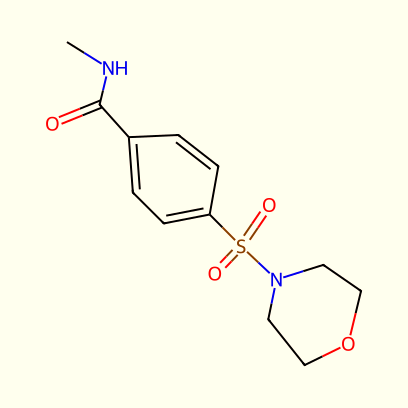 CNC(=O)c1ccc(S(=O)(=O)N2CCOCC2)cc1